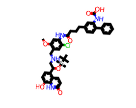 COc1cc(NC(=O)CCCc2ccc(-c3ccccc3)c(NC(=O)O)c2)c(Cl)cc1CNCC(O[Si](C)(C)C(C)(C)C)c1ccc(O)c2[nH]c(=O)ccc12